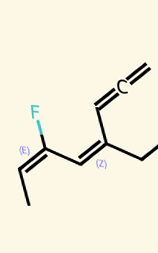 C=C=C/C(=C\C(F)=C/C)CC